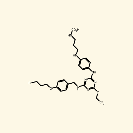 O=C(O)NCCCNc1ccc(Nc2nc(NCc3ccc(OCCCBr)cc3)nc(OCC(F)(F)F)n2)cc1